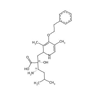 CC1=CNC(C[C@](O)(C(=O)O)[C@@H](N)CC(C)C)C(C)=C1OCCc1ccccc1